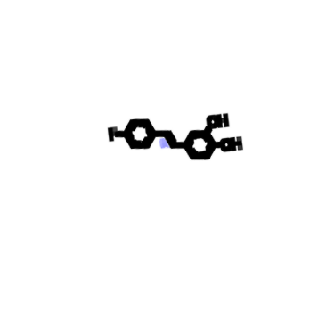 Oc1ccc(/C=C/c2ccc(F)cc2)cc1O